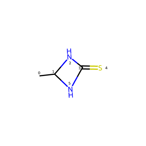 CC1NC(=S)N1